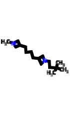 CN1CC(CCCCC2CN(CCC(C)(C)C)C2)C1